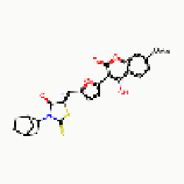 COc1ccc2c(O)c(-c3ccc(/C=C4\SC(=S)N(C5CC6CCC5C6)C4=O)o3)c(=O)oc2c1